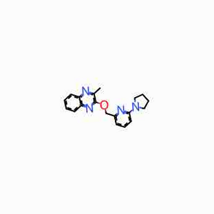 Cc1nc2ccccc2nc1OCc1cccc(N2CCCC2)n1